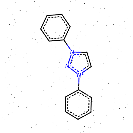 c1ccc(-n2cc[n+](-c3ccccc3)n2)cc1